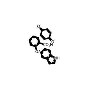 CC(=O)Oc1ccccc1C(=O)O.O=C1C=CC(=O)C=C1.c1ccc2[nH]ccc2c1